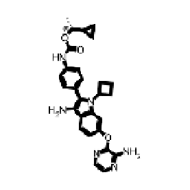 C[C@@H](OC(=O)Nc1ccc(-c2c(N)c3ccc(Oc4nccnc4N)cc3n2C2CCC2)cc1)C1CC1